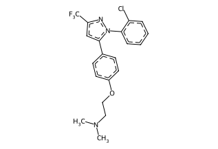 CN(C)CCOc1ccc(-c2cc(C(F)(F)F)nn2-c2ccccc2Cl)cc1